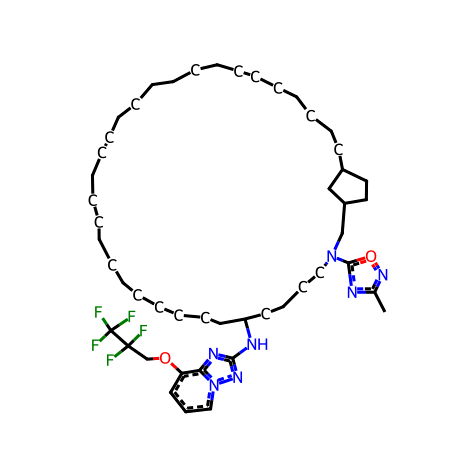 Cc1noc(N2CCCCC(Nc3nc4c(OCC(F)(F)C(F)(F)F)cccn4n3)CCCCCCCCCCCCCCCCCCCCCCCCCCC3CCC(C3)C2)n1